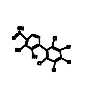 O=S(O)c1ccc(-c2c(Cl)c(Cl)c(Cl)c(Cl)c2Cl)c(S)c1S